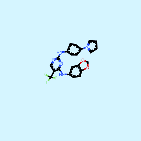 FC(F)(F)c1cnc(Nc2ccc(-n3cccc3)cc2)nc1Nc1ccc2c(c1)OCO2